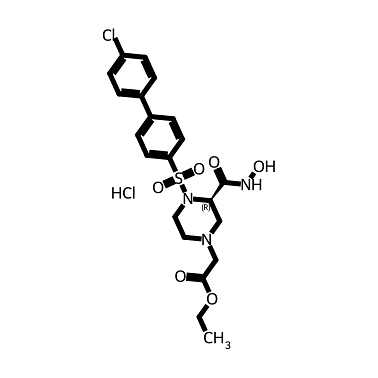 CCOC(=O)CN1CCN(S(=O)(=O)c2ccc(-c3ccc(Cl)cc3)cc2)[C@@H](C(=O)NO)C1.Cl